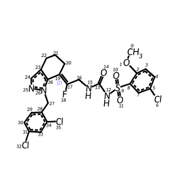 COc1ccc(Cl)cc1S(=O)(=O)NC(=O)NC/C(F)=C1\CCCc2cnn(Cc3ccc(Cl)cc3Cl)c21